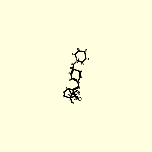 CC12CCC(/C(=C\c3ccc(CN4CCCCC4)cc3)C1=O)C2(C)C